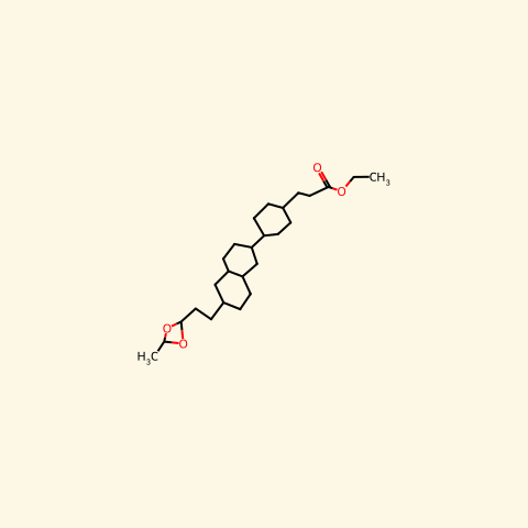 CCOC(=O)CCC1CCC(C2CCC3CC(CCC4OC(C)O4)CCC3C2)CC1